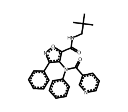 CC(C)(C)CNC(=O)c1onc(-c2ccccc2)c1N(C(=O)c1cccnc1)c1ccccc1